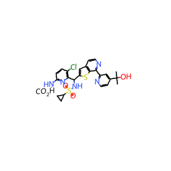 CC(C)(O)c1ccnc(-c2nccc3cc(C(NS(=O)(=O)C4CC4)c4nc(NC(=O)O)ccc4Cl)sc23)c1